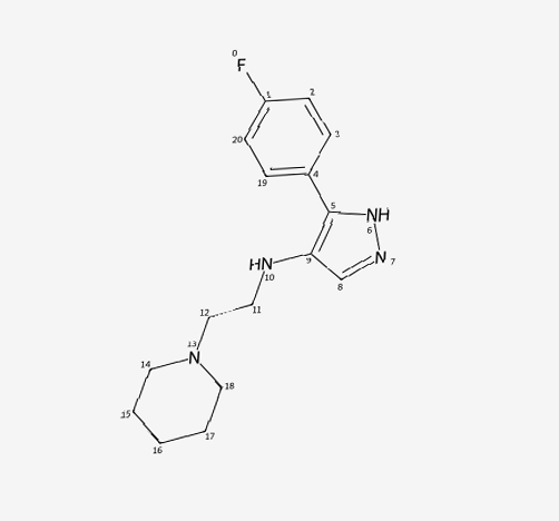 Fc1ccc(-c2[nH]ncc2NCCN2CCCCC2)cc1